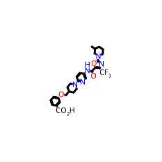 CC1CCCN(c2nc(C(F)(F)F)c(C(=O)Nc3ccc(N4CCC(COc5cccc(C(=O)O)c5)CC4)nc3)o2)C1